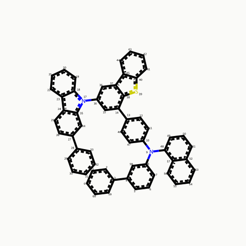 c1ccc(-c2cccc(N(c3ccc(-c4cc(-n5c6ccccc6c6ccc(-c7ccccc7)cc65)cc5c4sc4ccccc45)cc3)c3cccc4ccccc34)c2)cc1